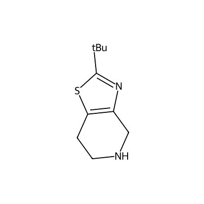 CC(C)(C)c1nc2c(s1)CCNC2